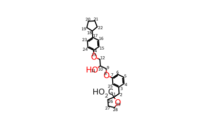 O=C(O)C1(Cc2cccc(OCC(O)COc3ccc(C4CCCC4)cc3)c2)CCCO1